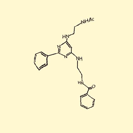 CC(=O)NCCNc1cc(NCCNC(=O)c2ccccc2)nc(-c2ccccc2)n1